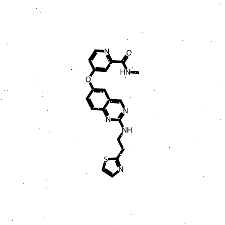 CNC(=O)c1cc(Oc2ccc3nc(NCCc4nccs4)ncc3c2)ccn1